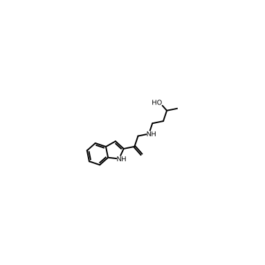 C=C(CNCCC(C)O)c1cc2ccccc2[nH]1